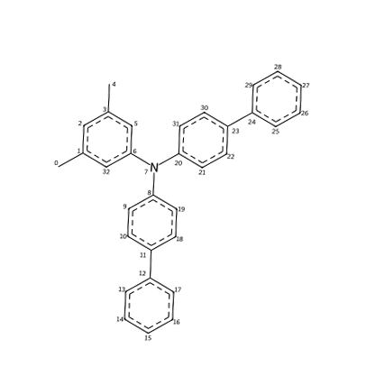 Cc1cc(C)cc(N(c2ccc(-c3ccccc3)cc2)c2ccc(-c3ccccc3)cc2)c1